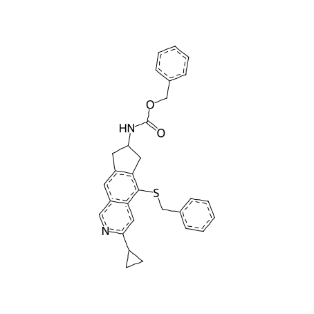 O=C(NC1Cc2cc3cnc(C4CC4)cc3c(SCc3ccccc3)c2C1)OCc1ccccc1